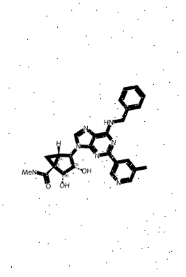 CNC(=O)[C@@]12C[C@@H]1C(n1cnc3c(NCc4ccccc4)nc(-c4cncc(C)c4)nc31)[C@H](O)[C@@H]2O